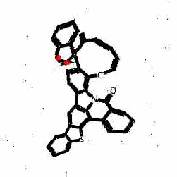 C=C1/C=C\C=C/Cc2c(ccc3c4cc5c6ccccc6sc5c5c6ccccc6c(=O)n(c23)c45)C12c1ccccc1-c1ccccc12